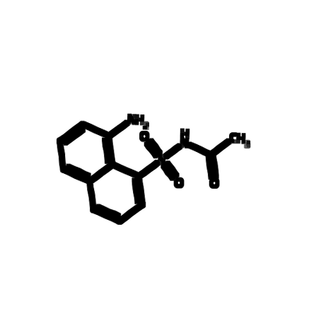 CC(=O)NS(=O)(=O)c1cccc2cccc(N)c12